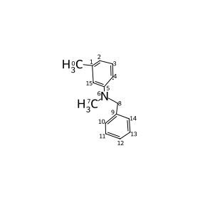 Cc1cc[c]c(N(C)Cc2ccccc2)c1